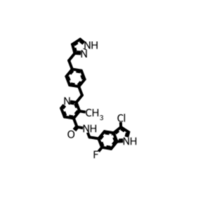 Cc1c(C(=O)NCc2cc3c(Cl)c[nH]c3cc2F)ccnc1Cc1ccc(Cc2cc[nH]n2)cc1